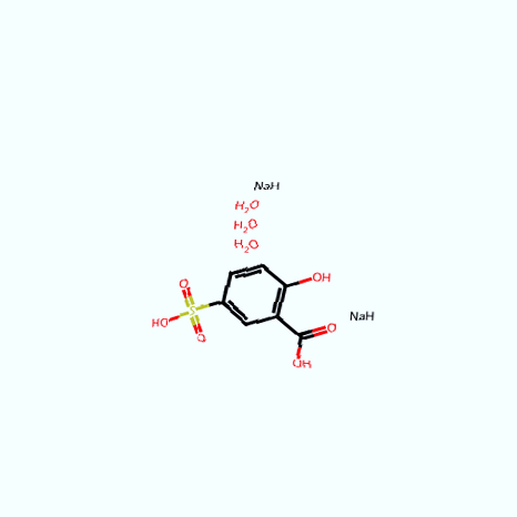 O.O.O.O=C(O)c1cc(S(=O)(=O)O)ccc1O.[NaH].[NaH]